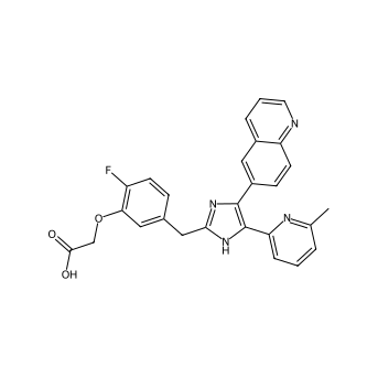 Cc1cccc(-c2[nH]c(Cc3ccc(F)c(OCC(=O)O)c3)nc2-c2ccc3ncccc3c2)n1